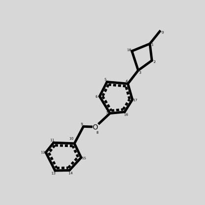 CC1CC(c2ccc(OCc3ccccc3)cc2)C1